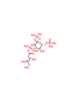 O=C(C[C@H](O)[C@H](O)CO)OP(=O)(O)O[C@H]1[C@@H](OP(=O)(O)O)O[C@H](COP(=O)(O)O)[C@@H](O)[C@@H]1O